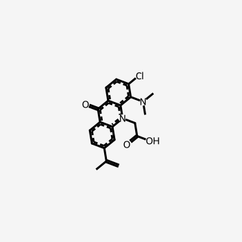 C=C(C)c1ccc2c(=O)c3ccc(Cl)c(N(C)C)c3n(CC(=O)O)c2c1